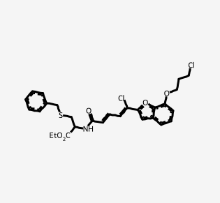 CCOC(=O)C(CSCc1ccccc1)NC(=O)/C=C/C=C(\Cl)c1cc2cccc(OCCCCl)c2o1